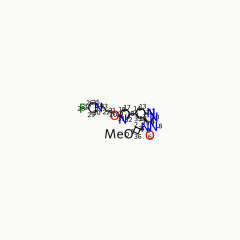 CO[C@H]1C[C@H](n2c(=O)n(C)c3nnc4ccc(-c5ccc(OCCCN6CCC(F)CC6)nc5)cc4c32)C1